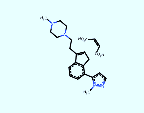 CN1CCN(CCC2=CCc3c2cccc3-c2ccnn2C)CC1.O=C(O)/C=C\C(=O)O